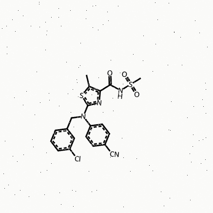 Cc1sc(N(Cc2cccc(Cl)c2)c2ccc(C#N)cc2)nc1C(=O)NS(C)(=O)=O